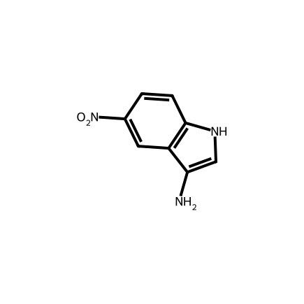 Nc1c[nH]c2ccc([N+](=O)[O-])cc12